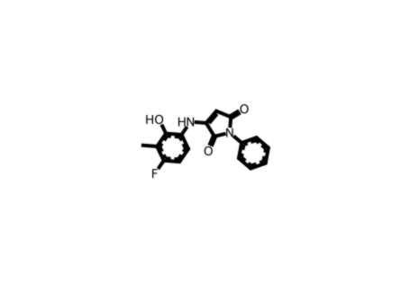 Cc1c(F)ccc(NC2=CC(=O)N(c3ccccc3)C2=O)c1O